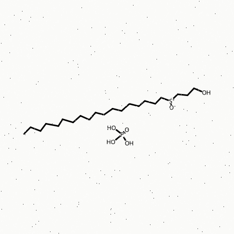 CCCCCCCCCCCCCCCCCC[S+]([O-])CCCO.O=P(O)(O)O